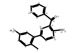 Cc1ccc(N)cc1-c1cnc(N)c(C(=O)c2cccnc2)n1